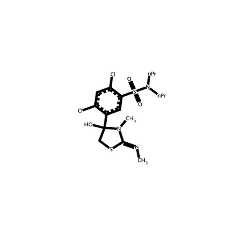 CCCN(CCC)S(=O)(=O)c1cc(C2(O)CS/C(=N\C)N2C)c(Cl)cc1Cl